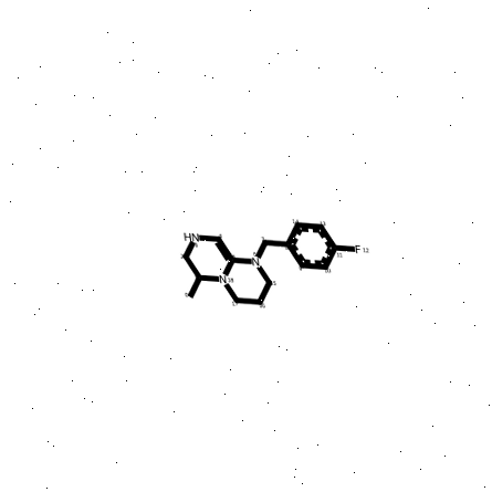 CC1CNC=C2N(Cc3ccc(F)cc3)CCCN21